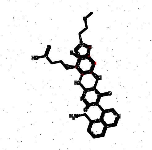 COCCn1cc2c(CCCC(=O)O)c(Nc3nc(=O)n(-c4cncc5cccc(CN)c45)c(=O)n3Cc3cc(F)c(F)c(F)c3)c(Cl)cc2n1